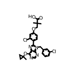 CC1(Oc2ncnc3c2nc(-c2ccc(OCC(C)(C)C(=O)O)cc2Cl)n3Cc2cccc(Cl)c2)CC1